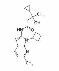 Cc1ccc2nc(NC(=O)CC(C)(O)C3CC3)n(C3CCC3)c2n1